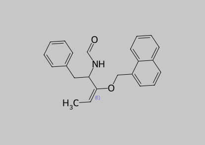 C/C=C(/OCc1cccc2ccccc12)C(Cc1ccccc1)NC=O